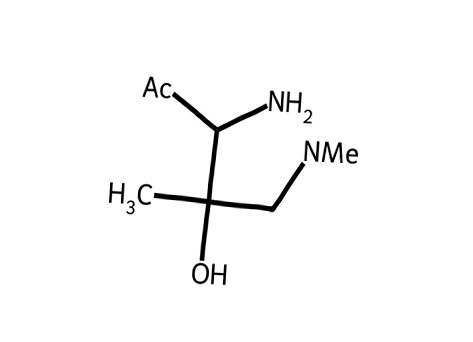 CNCC(C)(O)C(N)C(C)=O